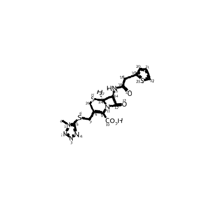 Cn1nnnc1SCC1=C(C(=O)O)N2C(=O)[C@H](NC(=O)Cc3cccs3)[C@@H]2SC1